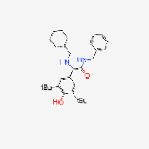 CC(C)(C)c1cc(C(NCC2CCCCC2)C(=O)NCc2ccccc2)cc(C(C)(C)C)c1O